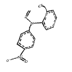 C=NN(c1ccc([N+](=O)[O-])cc1)c1ccccc1Cl